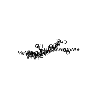 CC[C@H](NC(=O)C(C[C@H](C)CCCCCCNCc1ccc(C(=O)OC)cc1)N(C)C(=O)[C@H](C(C)C)N(C)C(=O)N(C)C(=O)[C@H](CC(C)C)N(C)C=O)C(=O)N(C)[C@H](CSCCCCO)C(=O)N(C)[C@@H](CC(C)C)C(=O)N[C@H](C(=O)N(C)[C@@H](CC(C)C)C(=O)N[C@H](C)C(=O)NC)C(C)C